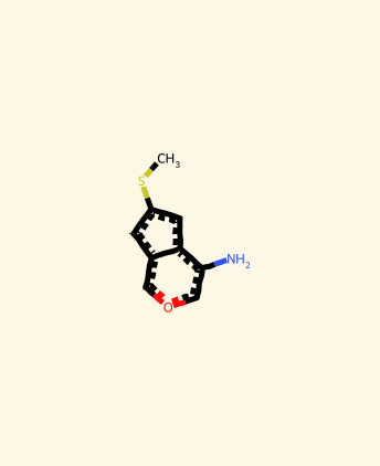 CSc1[c]c2cocc(N)c-2c1